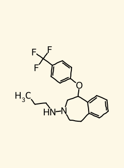 CCCNN1CCc2ccccc2C(Oc2ccc(C(F)(F)F)cc2)C1